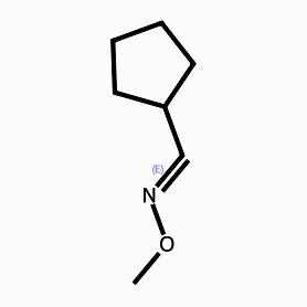 CO/N=C/C1CCCC1